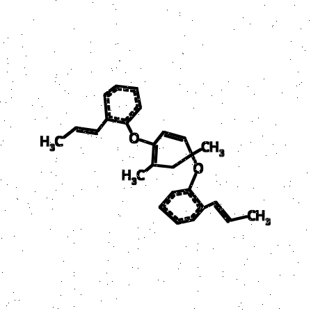 CC=Cc1ccccc1OC1=C(C)CC(C)(Oc2ccccc2C=CC)C=C1